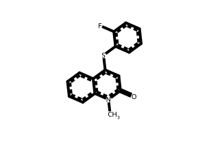 Cn1c(=O)cc(Sc2ccccc2F)c2ccccc21